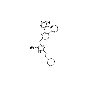 CCCn1nc(CCC2CCCCC2)nc1Cc1ccc(-c2ccccc2-c2nnn[nH]2)cn1